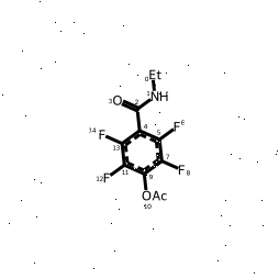 CCNC(=O)c1c(F)c(F)c(OC(C)=O)c(F)c1F